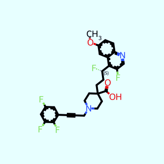 COc1ccc2ncc(F)c([C@@H](F)CCC3(C(=O)O)CCN(CC#Cc4cc(F)cc(F)c4F)CC3)c2c1